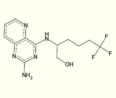 Nc1nc(NC(CO)CCCC(F)(F)F)c2ncccc2n1